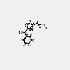 CCc1coc(C(=O)c2ccccc2)n1